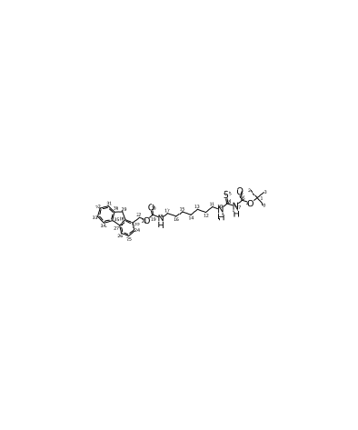 CC(C)(C)OC(=O)NC(=S)NCCCCCCCNC(=O)OCc1cccc2c1Cc1ccccc1-2